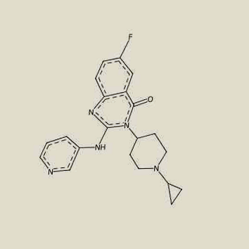 O=c1c2cc(F)ccc2nc(Nc2cccnc2)n1C1CCN(C2CC2)CC1